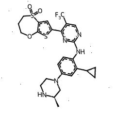 C[C@@H]1CN(c2ccc(Nc3ncc(C(F)(F)F)c(-c4cc5c(s4)OCCCS5(=O)=O)n3)c(C3CC3)c2)CCN1